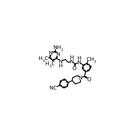 Cc1ccc(C(=O)N2CCC(c3ccc(C#N)cc3)CC2)cc1NC(=O)NCCNc1nc(N)nc(C)c1C